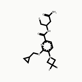 NC(=O)CC(CF)NC(=O)c1ccc(N2CC(F)(F)C2)c(OCC2CC2)n1